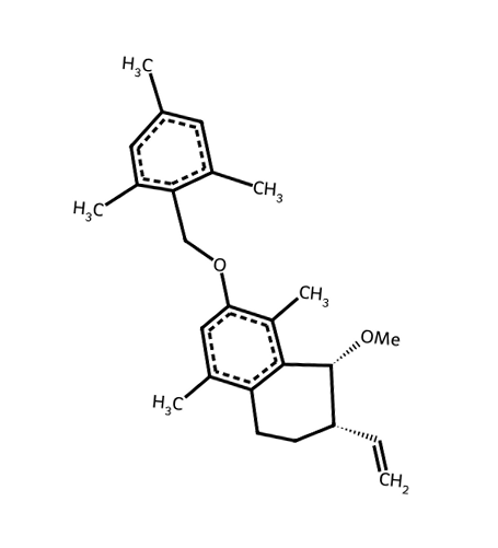 C=C[C@@H]1CCc2c(C)cc(OCc3c(C)cc(C)cc3C)c(C)c2[C@@H]1OC